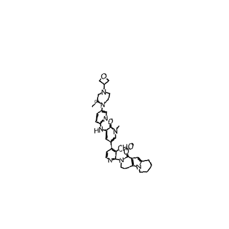 C[C@H]1CN(C2COC2)CCN1c1ccc(Nc2cc(-c3ccnc(N4CCc5c(cc6n5CCCC6)C4=O)c3C=O)cn(C)c2=O)nc1